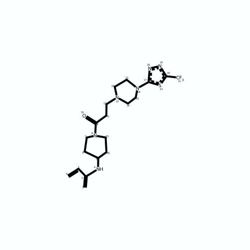 C=CC(=C)NC1CCN(C(=O)CCN2CCN(c3nnc(C(F)(F)F)s3)CC2)CC1